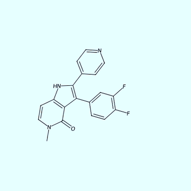 Cn1ccc2[nH]c(-c3ccncc3)c(-c3ccc(F)c(F)c3)c2c1=O